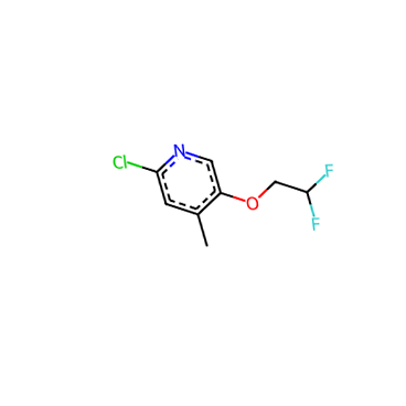 Cc1cc(Cl)ncc1OCC(F)F